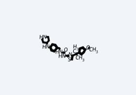 COc1ccc(C(C)(C)c2csc(NC(=O)NCc3ccc(NC4CCNCC4)cc3)n2)cc1